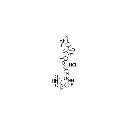 CCc1cc(N2C(=S)N(c3ccc(C#N)c(C(F)(F)F)c3)C(=O)C23CCC3)ccc1OCCC1CCN(CC(=O)Nc2cc(NC3CCC(=O)NC3=O)ccc2F)CC1.Cl